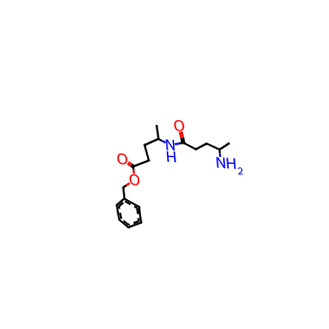 CC(N)CCC(=O)NC(C)CCC(=O)OCc1ccccc1